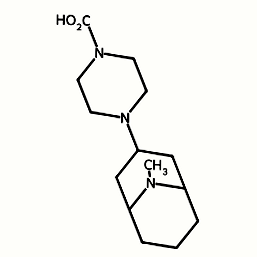 CN1C2CCCC1CC(N1CCN(C(=O)O)CC1)C2